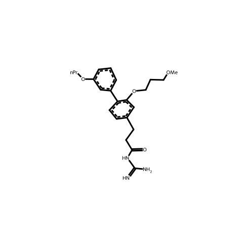 CCCOc1cccc(-c2ccc(CCC(=O)NC(=N)N)cc2OCCCOC)c1